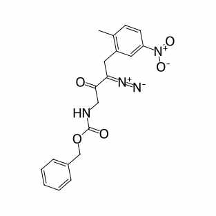 Cc1ccc([N+](=O)[O-])cc1CC(=[N+]=[N-])C(=O)CNC(=O)OCc1ccccc1